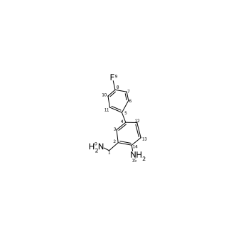 NCc1cc(-c2ccc(F)cc2)ccc1N